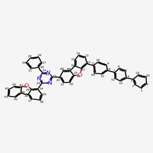 c1ccc(-c2ccc(-c3ccc(-c4cccc5c4oc4ccc(-c6nc(-c7ccccc7)nc(-c7cccc8c7oc7ccccc78)n6)cc45)cc3)cc2)cc1